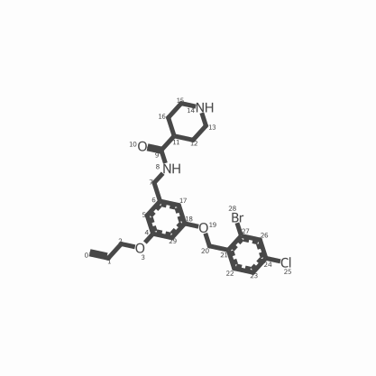 C=CCOc1cc(CNC(=O)C2CCNCC2)cc(OCc2ccc(Cl)cc2Br)c1